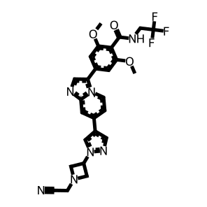 COc1cc(-c2cnc3cc(-c4cnn(C5CN(CC#N)C5)c4)ccn23)cc(OC)c1C(=O)NCC(F)(F)F